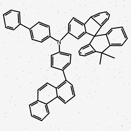 CC1(C)c2ccccc2C2(c3ccccc3-c3ccc(N(c4ccc(-c5ccccc5)cc4)c4ccc(-c5cccc6c5ccc5ccccc56)cc4)cc32)c2ccccc21